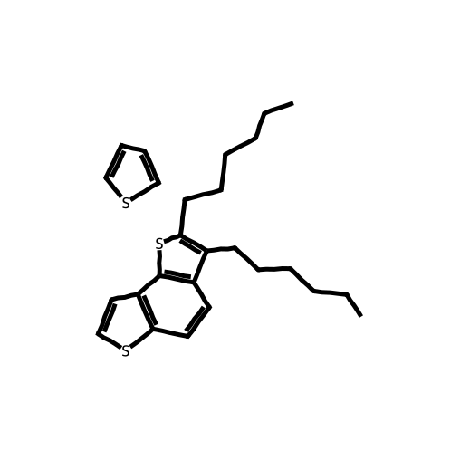 CCCCCCc1sc2c(ccc3sccc32)c1CCCCCC.c1ccsc1